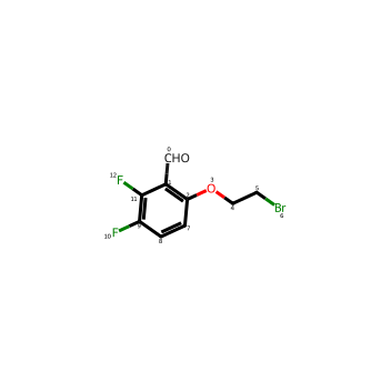 O=Cc1c(OCCBr)ccc(F)c1F